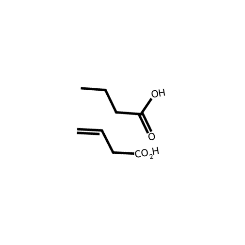 C=CCC(=O)O.CCCC(=O)O